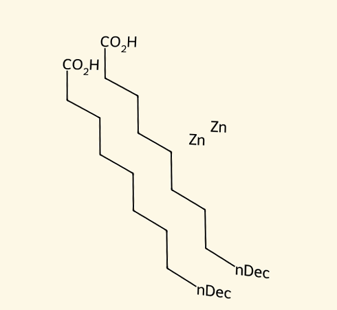 CCCCCCCCCCCCCCCCCC(=O)O.CCCCCCCCCCCCCCCCCC(=O)O.[Zn].[Zn]